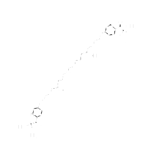 CC(C)(O)C(=O)c1ccc(OCCOCC(O)CCCOCOCCCC(O)COCCOc2ccc(C(=O)C(C)(C)O)cc2)cc1